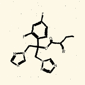 CCC(Br)C(=O)OC(Cn1cncn1)(Cn1cncn1)c1ccc(F)cc1F